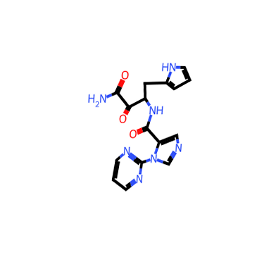 NC(=O)C(=O)C(Cc1ccc[nH]1)NC(=O)c1cncn1-c1ncccn1